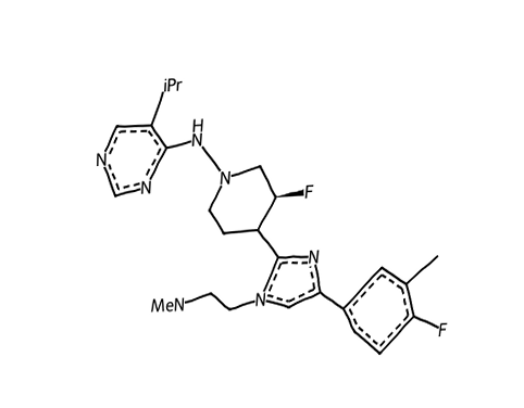 CNCCn1cc(-c2ccc(F)c(C)c2)nc1C1CCN(Nc2ncncc2C(C)C)C[C@H]1F